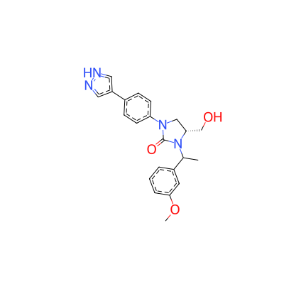 COc1cccc(C(C)N2C(=O)N(c3ccc(-c4cn[nH]c4)cc3)C[C@@H]2CO)c1